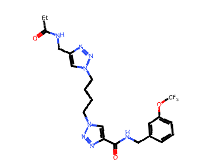 CCC(=O)NCc1cn(CCCCn2cc(C(=O)NCc3cccc(OC(F)(F)F)c3)nn2)nn1